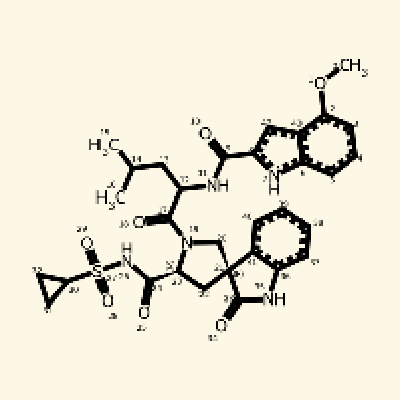 COc1cccc2[nH]c(C(=O)NC(CC(C)C)C(=O)N3C[C@]4(C[C@H]3C(=O)NS(=O)(=O)C3CC3)C(=O)Nc3ccccc34)cc12